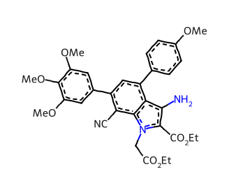 CCOC(=O)Cn1c(C(=O)OCC)c(N)c2c(-c3ccc(OC)cc3)cc(-c3cc(OC)c(OC)c(OC)c3)c(C#N)c21